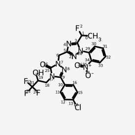 CC(F)c1nc(Cn2nc(-c3ccc(Cl)cc3)n(CC(O)C(F)(F)F)c2=O)nn1-c1ccccc1[N+](=O)[O-]